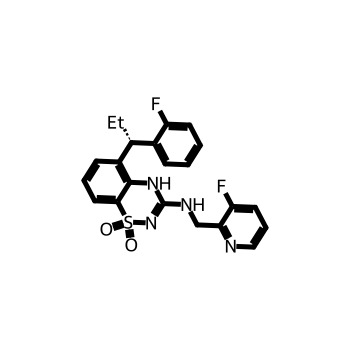 CC[C@H](c1ccccc1F)c1cccc2c1NC(NCc1ncccc1F)=NS2(=O)=O